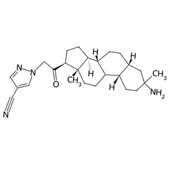 CC1(N)CC[C@@H]2C3CC[C@]4(C)[C@@H](C(=O)Cn5cc(C#N)cn5)CC[C@H]4[C@@H]3CC[C@@H]2C1